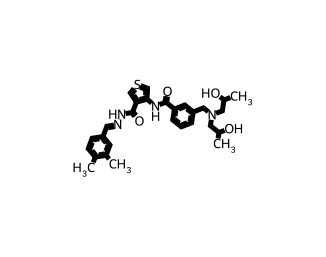 Cc1ccc(C=NNC(=O)c2cscc2NC(=O)c2cccc(CN(CC(C)O)CC(C)O)c2)cc1C